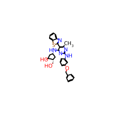 Cc1nc(Nc2cccc(OCc3ccccc3)c2)nc(N[C@@H]2C[C@H](CO)[C@@H](O)C2)c1-c1nc2ccccc2s1